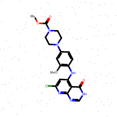 COc1cc(N2CCN(C(=O)OC(C)(C)C)CC2)ccc1Nc1cc(Cl)nc2nc[nH]c(=O)c12